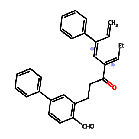 C=C/C(=C\C(=C/CC)C(=O)CCc1cc(-c2ccccc2)ccc1C=O)c1ccccc1